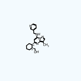 Cc1cnn2c(NCc3cccnc3)cc([C@@H]3CCCC[C@@H]3CO)nc12